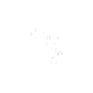 CC(O)(c1ccc2c(cnn2-c2ccccc2)c1)C(F)[SH]1C=CC(C(F)(F)F)=C1